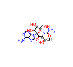 C[C@@H](O)[C@H](NC(N)=O)C(=O)[C@@]1(n2cnc3c(N)ncnc32)O[C@H](CO)[C@@H](O)[C@H]1O